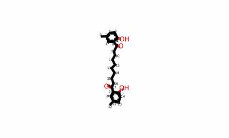 Cc1ccc(O)c(C(=O)CCCCCCCCC(=O)c2cc(C)ccc2O)c1